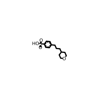 O=S(=O)(O)c1ccc(CCCC2CCOCC2)cc1